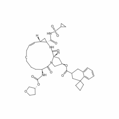 O=C(N[C@H]1CCCCC/C=C\[C@@H]2C[C@@]2(C(=O)NS(=O)(=O)C2CC2)NC(=O)[C@@H]2C[C@@H](OC(=O)C3Cc4ccccc4C4(CCC4)C3)CN2C1=O)O[C@@H]1CCOC1